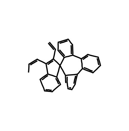 C=CC1=C(/C=C\C)c2ccccc2C12c1ccccc1-c1ccccc1-c1ccccc12